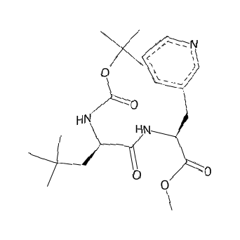 COC(=O)[C@H](Cc1cccnc1)NC(=O)[C@@H](CC(C)(C)C)NC(=O)OC(C)(C)C